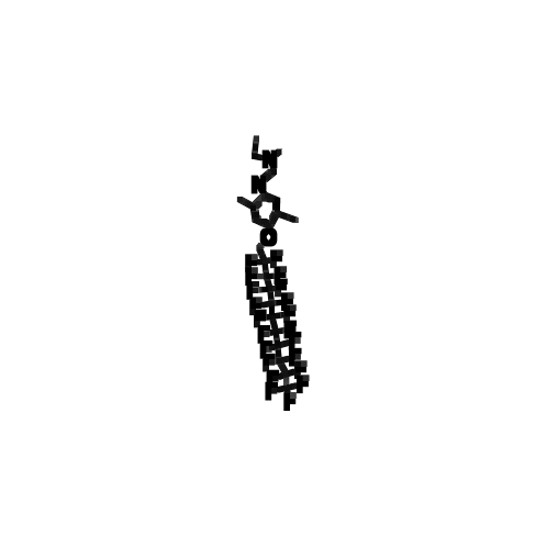 CCN(C)/C=N/c1cc(C)c(OCC(F)(F)C(F)(F)C(F)(F)C(F)(F)C(F)(F)C(F)(F)C(F)(F)C(F)(F)C(F)(F)C(F)(F)F)cc1C